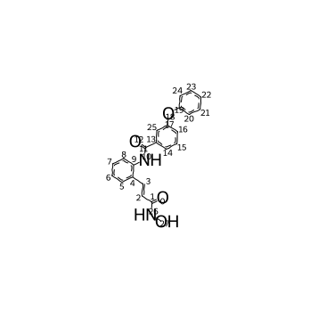 O=C(/C=C/c1ccccc1NC(=O)c1cccc(Oc2ccccc2)c1)NO